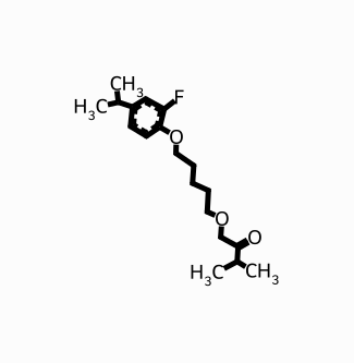 CC(C)C(=O)COCCCCCOc1ccc(C(C)C)cc1F